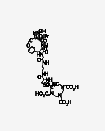 CC(C)C[C@H]1C(=O)N[C@H](C(=O)NCC(=O)NCCCNC(=O)C(CS(=O)(=O)O)NC(=O)CN2CCN(CC(=O)O)CCN(CC(=O)O)CCN(CC(=O)O)CC2)Cc2ccc(cc2)OCCC[C@@H]1C(=O)NO